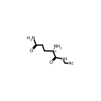 CC(=O)CNC(=O)[C@@H](N)CCC(N)=O